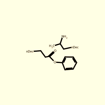 CCCCCCCCCCCC(C)N.CCCCCCCCCCCCC(=O)Oc1ccccc1